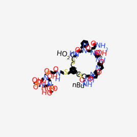 CCCCNC(=O)N[C@H]1CSCc2cc(CSCCNC(=O)CCP(=O)(O)CN3CCN(CP(=O)(O)CO)CCN(CP(=O)(O)CO)CC3)cc(c2)CSC[C@@H](C(=O)O)NC(=O)[C@H](Cc2ccccc2)NC(=O)[C@H](CCC(N)=O)NC(=O)[C@H]([C@@H](C)O)NC(=O)[C@@H]2CCCN2C(=O)[C@@H]2CCCN2C1=O